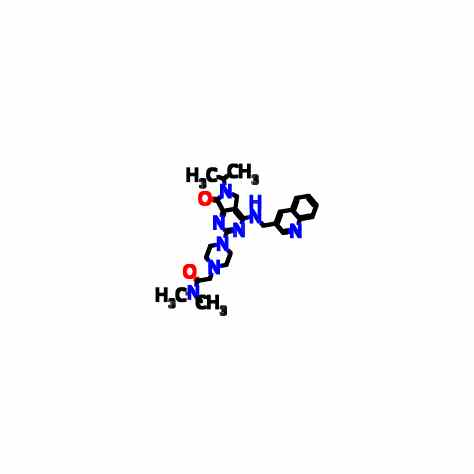 CC(C)N1Cc2c(NCc3cnc4ccccc4c3)nc(N3CCN(CC(=O)N(C)C)CC3)nc2C1=O